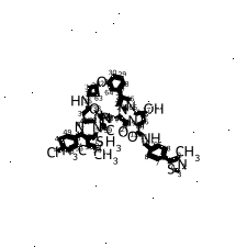 Cc1ncsc1-c1ccc(CNC(=O)[C@@H]2C[C@@H](O)CN2C(=O)[C@@H](C(C)C)n2cc(-c3cccc(O[C@H]4C[C@H](NC(=O)C[C@@H]5N=C(c6ccc(Cl)cc6)c6c(sc(C)c6C)-n6c(C)nnc65)C4)c3)cn2)cc1